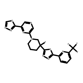 FC(F)(F)c1cccc(-c2nnc(C3(F)CCCN(c4cncc(-c5nncs5)n4)C3)s2)n1